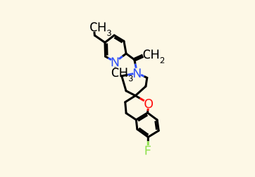 C=C(C1C=CC(CC)=CN1C)N1CCC2(CCc3cc(F)ccc3O2)CC1